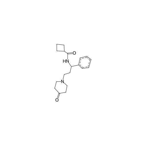 O=C1CCN(CCC(NC(=O)C2CCC2)c2ccccc2)CC1